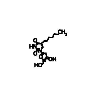 CCCCCC=Cc1cn([C@H]2C[C@H](O)[C@@H](CO)O2)c(=O)[nH]c1=O